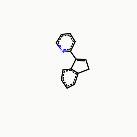 C1=C(c2ccccn2)c2ccccc2C1